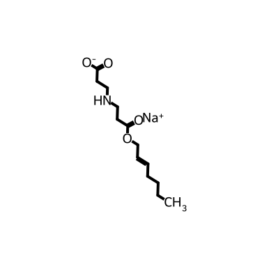 CCCCC=CCOC(=O)CCNCCC(=O)[O-].[Na+]